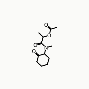 CC(=O)OC(C)C(=O)N(C)C1CCCCC1=O